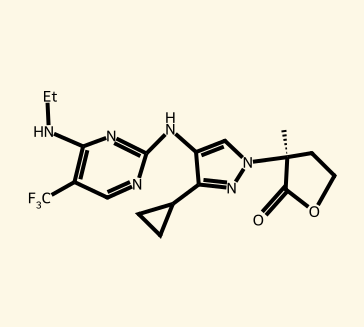 CCNc1nc(Nc2cn([C@@]3(C)CCOC3=O)nc2C2CC2)ncc1C(F)(F)F